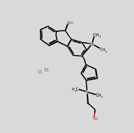 C[Si](C)(CCO)C1=CCC(c2cc3c(c4c2[Si]4(C)C)[CH]([Zr+2])c2ccccc2-3)=C1.[Cl-].[Cl-]